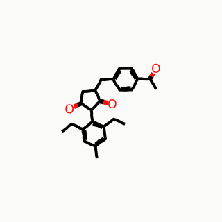 CCc1cc(C)cc(CC)c1C1C(=O)CC(Cc2ccc(C(C)=O)cc2)C1=O